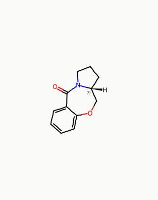 O=C1c2ccccc2OC[C@H]2CCCN12